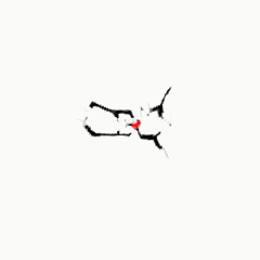 Cc1nc(I)cc(N2C3COCC2COC3)n1